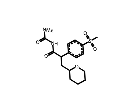 CNC(=O)NC(=O)C(CC1CCCCO1)c1ccc(S(C)(=O)=O)cc1